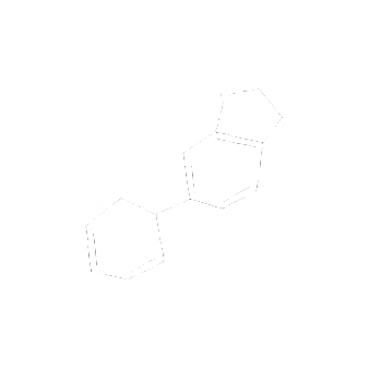 C1=CCC(c2ccc3c(c2)OCC3)C=C1